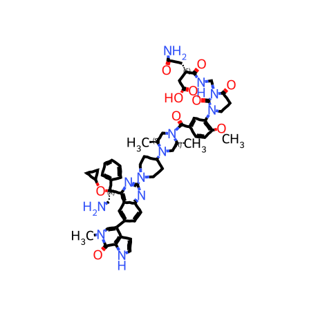 COc1ccc(C(=O)N2C[C@H](C)N(C3CCN(c4nc([C@@](CN)(OC5CC5)c5ccccc5)c5cc(-c6cn(C)c(=O)c7[nH]ccc67)ccc5n4)CC3)C[C@H]2C)cc1N1CCC(=O)N(CNC(=O)[C@@H](CC(N)=O)CC(=O)O)C1=O